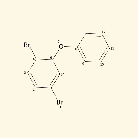 Brc1ccc(Br)c(Oc2c[c]ccc2)c1